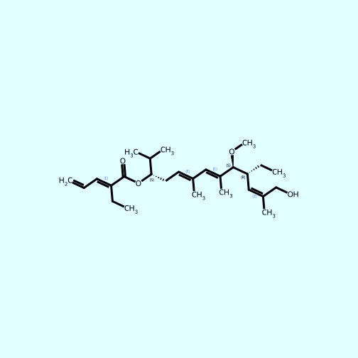 C=C/C=C(\CC)C(=O)O[C@@H](C/C=C(C)/C=C(\C)[C@@H](OC)[C@@H](/C=C(/C)CO)CC)C(C)C